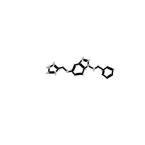 c1ccc(COn2nnc3cc(OCc4nn[nH]n4)ccc32)cc1